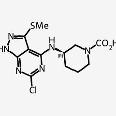 CSc1n[nH]c2nc(Cl)nc(N[C@@H]3CCCN(C(=O)O)C3)c12